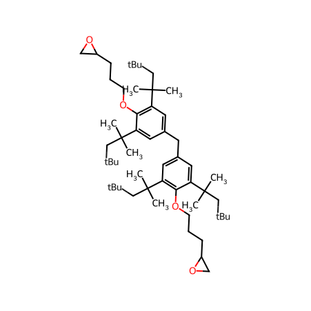 CC(C)(C)CC(C)(C)c1cc(Cc2cc(C(C)(C)CC(C)(C)C)c(OCCCC3CO3)c(C(C)(C)CC(C)(C)C)c2)cc(C(C)(C)CC(C)(C)C)c1OCCCC1CO1